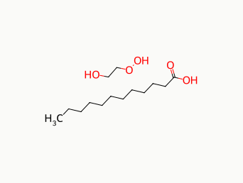 CCCCCCCCCCCC(=O)O.OCCOO